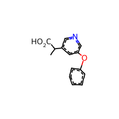 CC(C(=O)O)c1cncc(Oc2ccccc2)c1